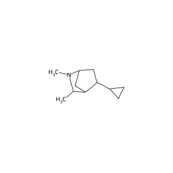 CC1C2CC(CC2C2CC2)N1C